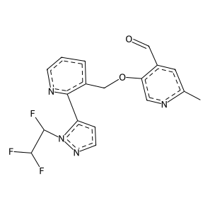 Cc1cc(C=O)c(OCc2cccnc2-c2ccnn2C(F)C(F)F)cn1